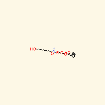 CC(C)(C)C(O)(CCOCCOCCOCCNC(=O)CCCCCCCCCCCCCO)Cc1ccccc1